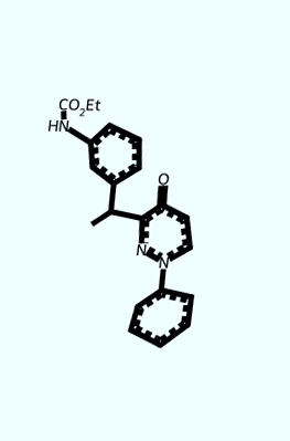 CCOC(=O)Nc1cccc(C(C)c2nn(-c3ccccc3)ccc2=O)c1